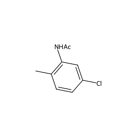 CC(=O)Nc1cc(Cl)ccc1C